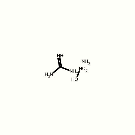 N.N=C(N)N.O=[N+]([O-])O